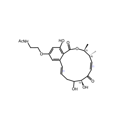 CC(=O)NCCOc1cc(O)c2c(c1)/C=C/CC(O)[C@H](O)C(=O)/C=C\[C@@H](C)[C@H](C)OC2=O